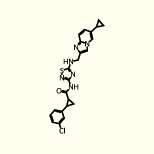 O=C(Nc1nsc(NCc2cn3cc(C4CC4)ccc3n2)n1)C1CC1c1cccc(Cl)c1